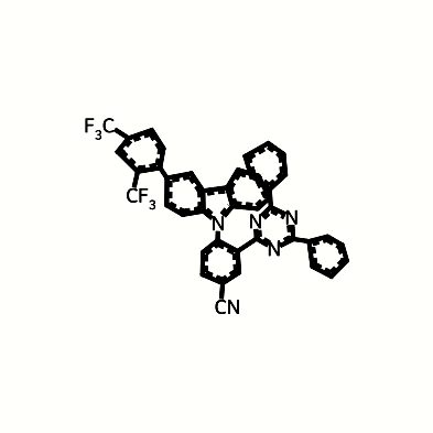 N#Cc1ccc(-n2c3ccccc3c3cc(-c4ccc(C(F)(F)F)cc4C(F)(F)F)ccc32)c(-c2nc(-c3ccccc3)nc(-c3ccccc3)n2)c1